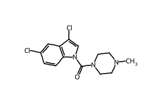 CN1CCN(C(=O)n2cc(Cl)c3cc(Cl)ccc32)CC1